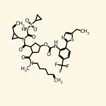 C=CCCCCN(C)C(=O)C1CC(OC(=O)Nc2cc(C(F)(F)F)ccc2-c2ncc(CC)s2)CC1C(=O)N(C(=O)NS(=O)(=O)C1CC1)C1CC1C=C